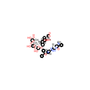 CN1[C@@H]2CC[C@H]1C[C@@H](OC(c1ccccc1)c1ccccc1)C2.C[C@H]1O[C@@H](O[C@H]2[C@@H](O)C[C@H](O[C@H]3[C@@H](O)C[C@H](O[C@H]4CC[C@@]5(C)[C@H](CC[C@@H]6[C@@H]5C[C@@H](O)[C@]5(C)[C@@H](C7=CC(=O)OC7)CC[C@]65O)C4)O[C@@H]3C)O[C@@H]2C)C[C@H](O)[C@@H]1O.Cc1nc[nH]c1CN1CCc2c(c3ccccc3n2C)C1=O